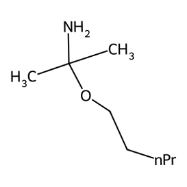 CCCCCOC(C)(C)N